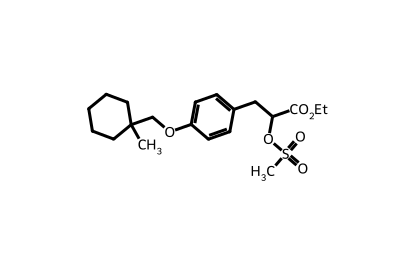 CCOC(=O)C(Cc1ccc(OCC2(C)CCCCC2)cc1)OS(C)(=O)=O